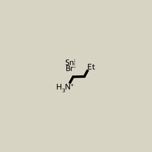 CCCC[NH3+].[Br-].[Sn]